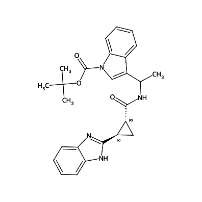 CC(NC(=O)[C@@H]1C[C@H]1c1nc2ccccc2[nH]1)c1cn(C(=O)OC(C)(C)C)c2ccccc12